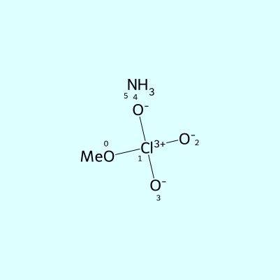 CO[Cl+3]([O-])([O-])[O-].N